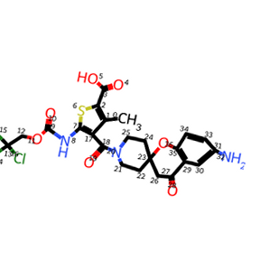 Cc1c(C(=O)O)sc(NC(=O)OCC(Cl)(Cl)Cl)c1C(=O)N1CCC2(CC1)CC(=O)c1cc(N)ccc1O2